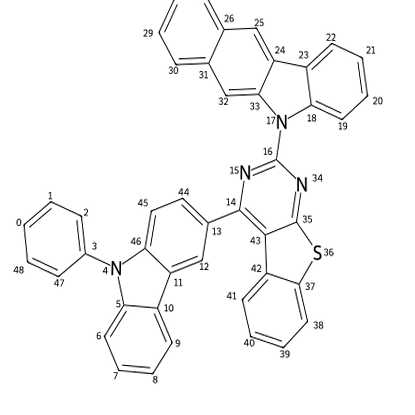 c1ccc(-n2c3ccccc3c3cc(-c4nc(-n5c6ccccc6c6cc7ccccc7cc65)nc5sc6ccccc6c45)ccc32)cc1